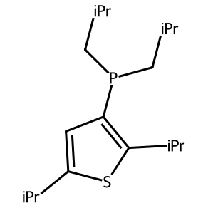 CC(C)CP(CC(C)C)c1cc(C(C)C)sc1C(C)C